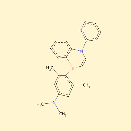 Cc1cc(N(C)C)cc(C)c1B1C=CN(c2ccccn2)c2ccccc21